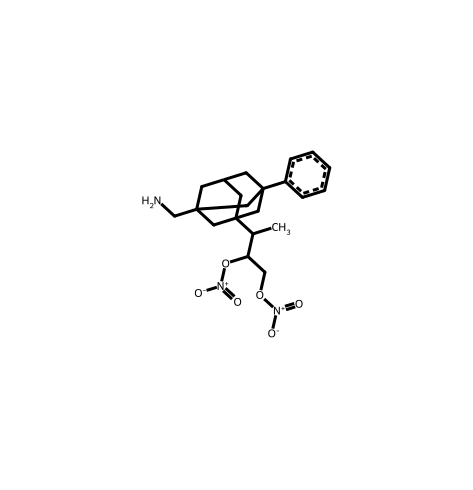 CC(C(CO[N+](=O)[O-])O[N+](=O)[O-])C12CC3CC(CN)(CC(c4ccccc4)(C3)C1)C2